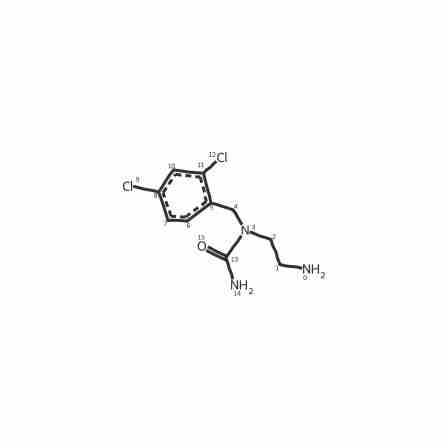 NCCN(Cc1ccc(Cl)cc1Cl)C(N)=O